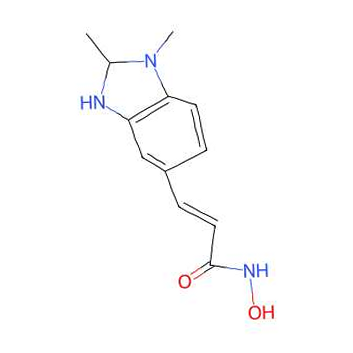 CC1Nc2cc(/C=C/C(=O)NO)ccc2N1C